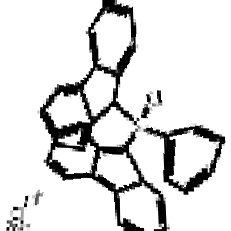 Cl[Si](C1=c2ccccc2=C2C=CC=CC21)(c1ccccc1)C1c2ccccc2-c2ccccc21.[Cl-].[Cl-].[Zr+2]